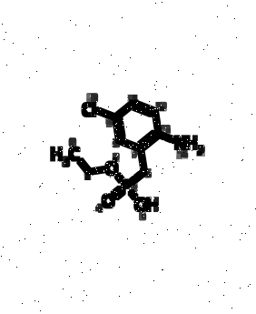 CCOP(=O)(O)Cc1cc(Cl)ccc1N